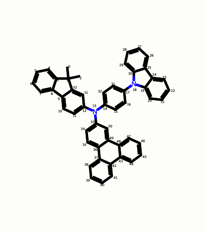 CC1(C)c2ccccc2-c2ccc(N(c3ccc(-n4c5ccccc5c5ccccc54)cc3)c3ccc4c5ccccc5c5ccccc5c4c3)cc21